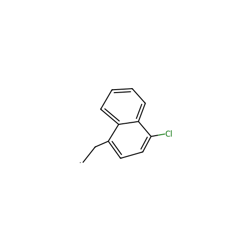 [CH2]Cc1ccc(Cl)c2ccccc12